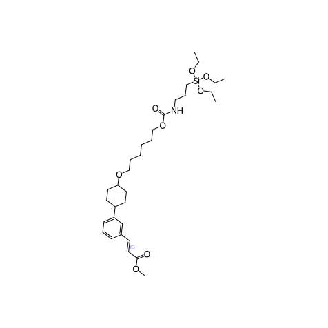 CCO[Si](CCCNC(=O)OCCCCCCOC1CCC(c2cccc(/C=C/C(=O)OC)c2)CC1)(OCC)OCC